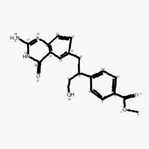 COC(=O)c1ccc(C(CO)Cc2ccc3nc(N)[nH]c(=O)c3c2)cc1